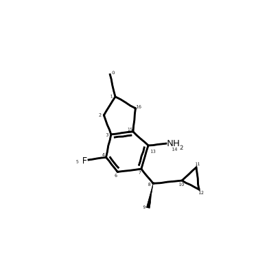 CC1Cc2c(F)cc([C@H](C)C3CC3)c(N)c2C1